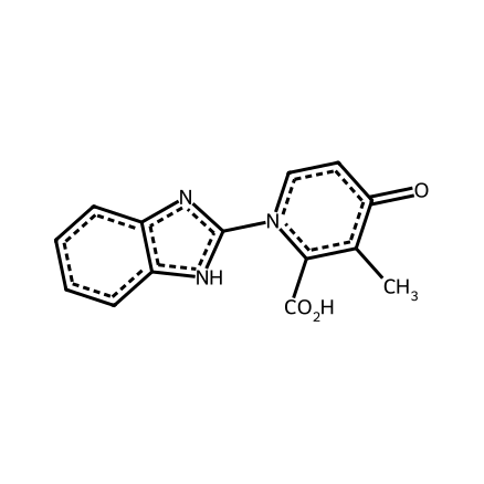 Cc1c(C(=O)O)n(-c2nc3ccccc3[nH]2)ccc1=O